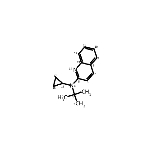 CC(C)(C)N(c1ccc2ccccc2n1)C1CC1